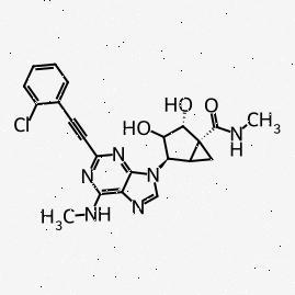 CNC(=O)[C@]12CC1[C@@H](n1cnc3c(NC)nc(C#Cc4ccccc4Cl)nc31)C(O)[C@@H]2O